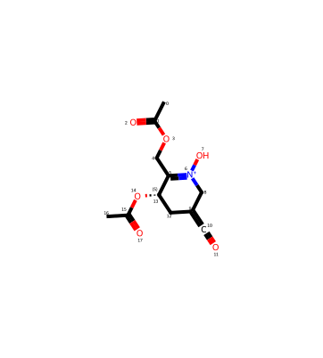 CC(=O)OCC1=[N+](O)CC(=C=O)C[C@@H]1OC(C)=O